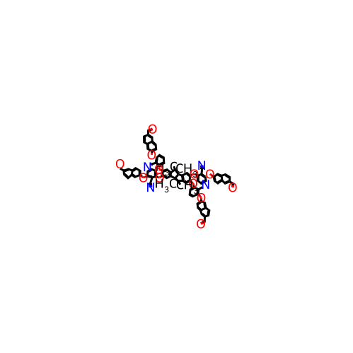 CC1(C)c2cc(Oc3cccc(Oc4ccc5cc(C=O)ccc5c4)c3C#N)c(Oc3cccc(Oc4ccc5cc(C=O)ccc5c4)c3C#N)cc2C2C1c1cc(Oc3cccc(Oc4ccc5cc(C=O)ccc5c4)c3C#N)c(Oc3cccc(Oc4ccc5cc(C=O)ccc5c4)c3C#N)cc1C2(C)C